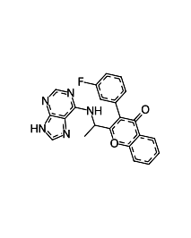 CC(Nc1ncnc2[nH]cnc12)c1oc2ccccc2c(=O)c1-c1cccc(F)c1